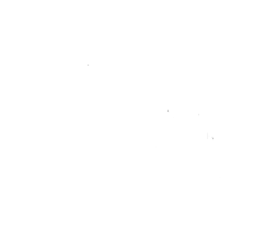 O=C(NCCCN1CCOCC1)n1cccc1-c1ccccc1